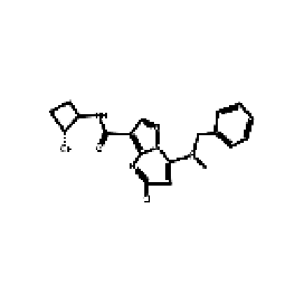 CN(Cc1ccccc1)c1cc(Cl)nc2c(C(=O)NC3CC[C@H]3O)cnn12